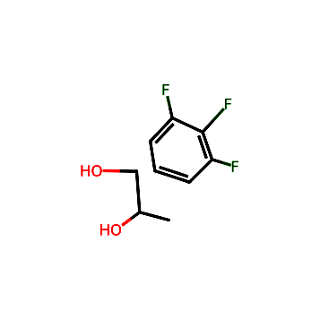 CC(O)CO.Fc1cccc(F)c1F